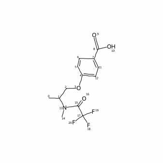 CC(COc1ccc(C(=O)O)cc1)N(C)C(=O)C(F)(F)F